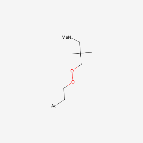 CNCC(C)(C)COOCCC(C)=O